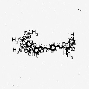 CC(=O)OC[C@H]1O[C@@H](Oc2cccc3oc(CCc4ccc(CCC(=O)NC(C)(C)C(=O)N5CCNCC5)cc4)cc23)[C@H](OC(C)=O)[C@@H](OC(C)=O)[C@@H]1OC(C)=O